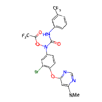 CNc1cc(Oc2ccc(N(OC(=O)C(F)(F)F)C(=O)Nc3cccc(C(F)(F)F)c3)cc2Br)ncn1